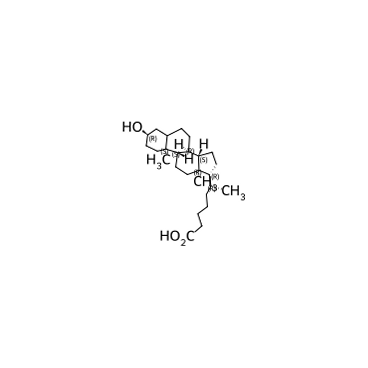 C[C@H](CCCCC(=O)O)[C@H]1CC[C@H]2[C@@H]3CCC4C[C@H](O)CC[C@]4(C)[C@H]3CC[C@]12C